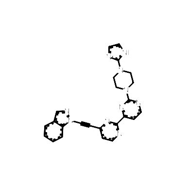 C(#Cn1ncc2ccccc21)c1ccnc(-c2ccnc(N3CCN(c4ncc[nH]4)CC3)n2)n1